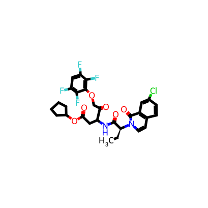 CC[C@@H](C(=O)NC(CC(=O)OC1CCCC1)C(=O)COc1c(F)c(F)cc(F)c1F)n1ccc2ccc(Cl)cc2c1=O